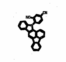 N#Cc1ccc(-n2c3ccccc3c3cc4c5c(cccc5c32)-c2ccccc2-4)c(C#N)c1